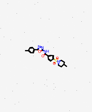 Cc1ccc(-c2nnc(NC(=O)c3ccc(S(=O)(=O)N4CCC(C)CC4)cc3)o2)cc1